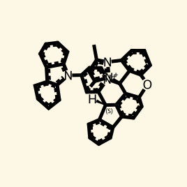 Cc1cc(C)[n+]2n1-c1cccc3c1C21c2c(ccc4c2[C@H](c2ccccc2-4)c2cc(-n4c5ccccc5c5ccccc54)cc[n+]21)O3